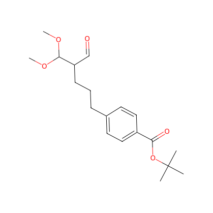 COC(OC)C(C=O)CCCc1ccc(C(=O)OC(C)(C)C)cc1